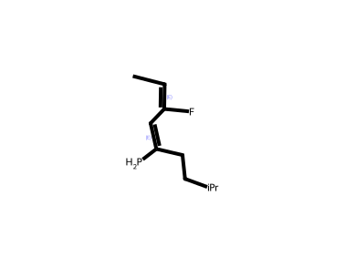 C/C=C(F)\C=C(\P)CCC(C)C